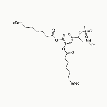 CCCCCCCCCCCCCCCC(=O)Oc1ccc(C(CNC(C)C)OS(C)(=O)=O)cc1OC(=O)CCCCCCCCCCCCCCC